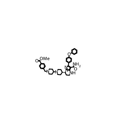 COC(=O)c1ccc(CN2CCC(N3CCC([C@@H]4CCNc5c(C(N)=O)c(-c6ccc(Oc7ccccc7)cc6)nn54)CC3)CC2)cc1